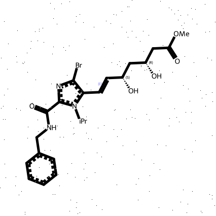 COC(=O)C[C@H](O)C[C@H](O)/C=C/c1c(Br)nc(C(=O)NCc2ccccc2)n1C(C)C